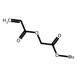 C=CC(=O)OCC(=O)OC(C)CC